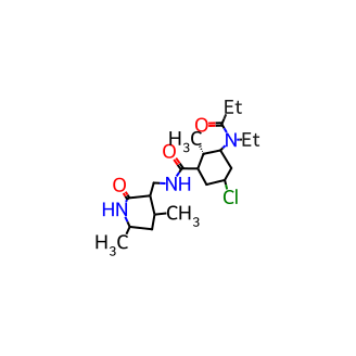 CCC(=O)N(CC)C1CC(Cl)CC(C(=O)NCC2C(=O)NC(C)CC2C)[C@@H]1C